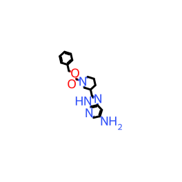 Nc1cnc2[nH]c(C3CCCN(C(=O)OCc4ccccc4)C3)nc2c1